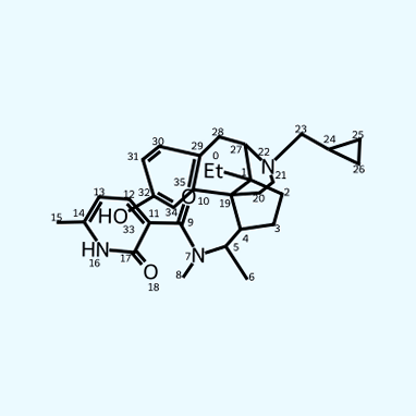 CCC12CCC(C(C)N(C)C(=O)c3ccc(C)[nH]c3=O)C13CCN(CC1CC1)C2Cc1ccc(O)cc13